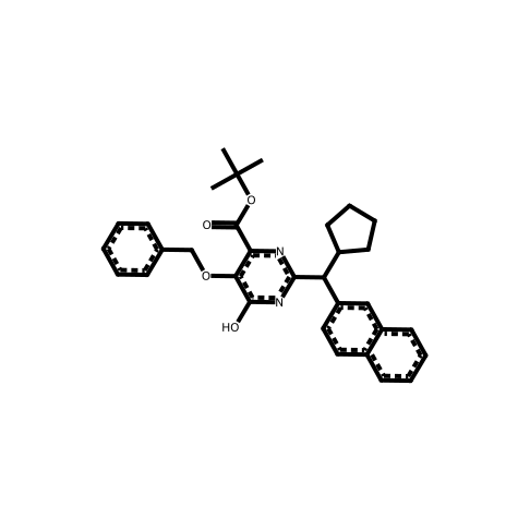 CC(C)(C)OC(=O)c1nc(C(c2ccc3ccccc3c2)C2CCCC2)nc(O)c1OCc1ccccc1